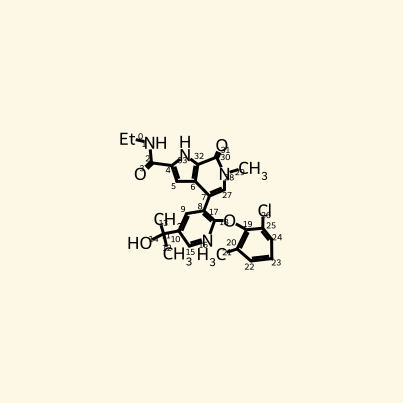 CCNC(=O)c1cc2c(-c3cc(C(C)(C)O)cnc3Oc3c(C)cccc3Cl)cn(C)c(=O)c2[nH]1